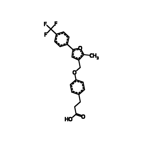 Cc1oc(-c2ccc(C(F)(F)F)cc2)cc1COc1ccc(CCC(=O)O)cc1